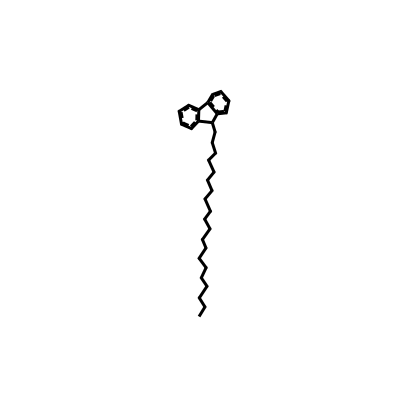 CCCCCCCCCCCCCCCCCCCCC1c2ccccc2-c2ccccc21